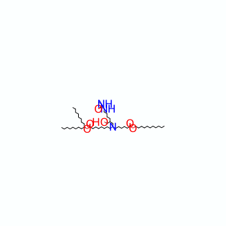 CCCCCCCCCCCOC(=O)CCCCCN(CCCCCCCC(=O)OC(CCCCCCCC)CCCCCCCC)CC(CO)CCCCNC(=O)NC